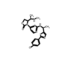 CN[C@H](C)C1COC(=O)N1c1ccnc(N[C@@H](C)c2cnc(-c3ccc(Cl)cc3)s2)n1